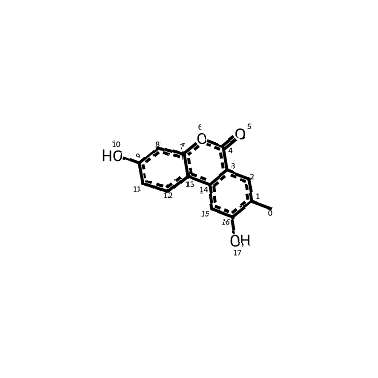 Cc1cc2c(=O)oc3cc(O)ccc3c2cc1O